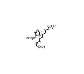 CCCCCCCC/C=C\CCCCCCCC(=O)O.CCCCCCCn1ccnc1